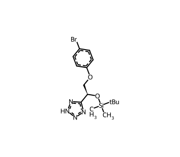 CC(C)(C)[Si](C)(C)O[C@H](COc1ccc(Br)cc1)c1nn[nH]n1